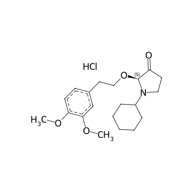 COc1ccc(CCO[C@H]2C(=O)CCN2C2CCCCC2)cc1OC.Cl